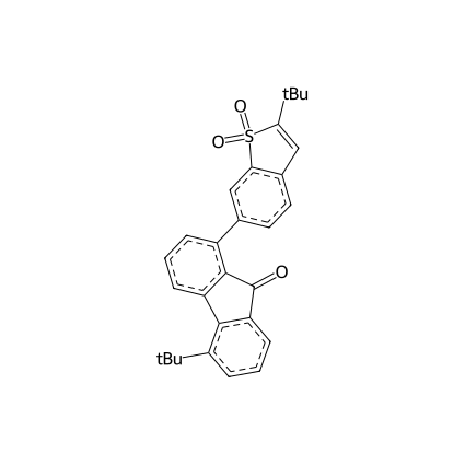 CC(C)(C)C1=Cc2ccc(-c3cccc4c3C(=O)c3cccc(C(C)(C)C)c3-4)cc2S1(=O)=O